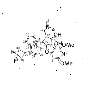 COc1cc2c(c(OC)n1)[C@]1(O)[C@H](O)[C@H](CN(C)C)[C@@H](c3ccccc3)[C@]1(c1ccc(C3CC(F)(F)C3)cc1)O2